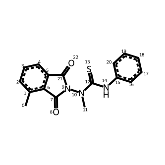 Cc1cccc2c1C(=O)N(N(C)C(=S)Nc1ccccc1)C2=O